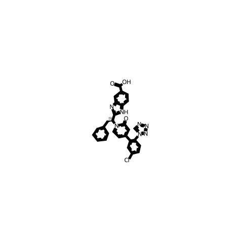 O=C(O)c1ccc2[nH]c([C@H](Cc3ccccc3)n3ccc(-c4cc(Cl)ccc4-n4cnnn4)cc3=O)nc2c1